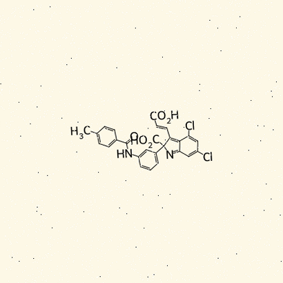 Cc1ccc(C(=O)Nc2cccc(C3(C(=O)O)N=c4cc(Cl)cc(Cl)c4=C3C=CC(=O)O)c2)cc1